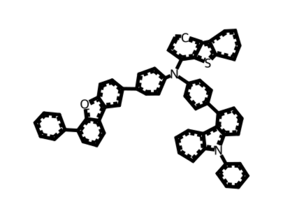 c1ccc(-c2cccc3c2oc2ccc(-c4ccc(N(c5ccc(-c6cccc7c6c6ccccc6n7-c6ccccc6)cc5)c5cccc6c5sc5ccccc56)cc4)cc23)cc1